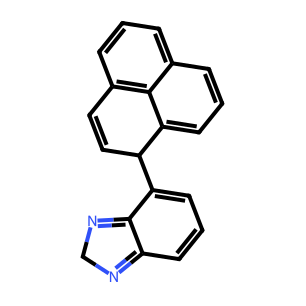 C1=CC(c2cccc3c2=NCN=3)c2cccc3cccc1c23